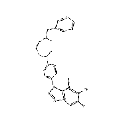 Oc1c(F)cc2nnn(-c3ccc(N4CCCC(Cc5ccccc5)CC4)cc3)c2c1F